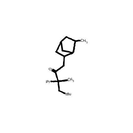 CC1CC2CC(CC(=O)C(C)(CC(C)(C)C)C(C)C)C1C2